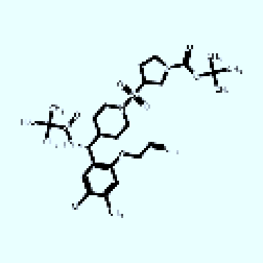 C=CCOc1cc(C)c(Cl)cc1[C@H](N[S+]([O-])C(C)(C)C)C1CCN(S(=O)(=O)C2CCN(C(=O)OC(C)(C)C)C2)CC1